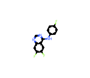 Fc1ccc(Nc2ncnc3cc(F)c(F)cc23)cc1